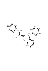 O=C(OCc1ccccc1Oc1ccccc1)Oc1ccccc1